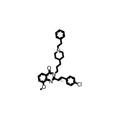 COc1cccc2c(=O)n(CCCC3CCN(CCc4ccccc4)CC3)c(/C=C/c3ccc(Cl)cc3)nc12